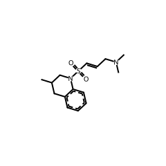 CC1Cc2ccccc2N(S(=O)(=O)/C=C/CN(C)C)C1